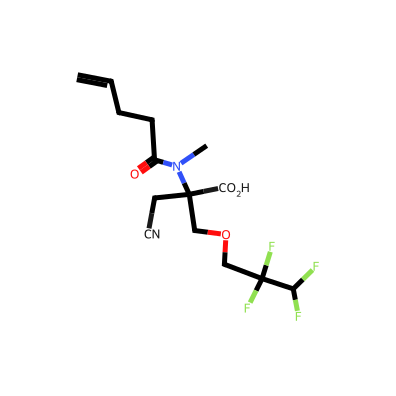 C=CCCC(=O)N(C)C(CC#N)(COCC(F)(F)C(F)F)C(=O)O